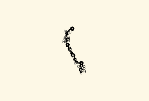 O=C1CC[C@H](N2C(=O)c3cccc(NCC(=O)N4CC(N5CCC6(CC5)CC(N5CCN(c7ccc(Nc8ncnc9c8ncn9C8CC(NC(=O)Cc9ccccc9)C8)cc7)CC5)C6)C4)c3C2=O)C(=O)N1